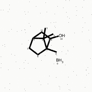 B.CC1(C)C2CCC1(C)C(O)C2